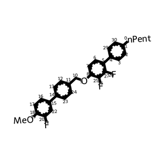 CCCCCc1ccc(-c2ccc(OCc3ccc(-c4ccc(OC)c(F)c4)cc3)c(F)c2F)cc1